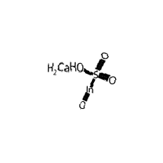 [CaH2].[O]=[In][S](=O)(=O)O